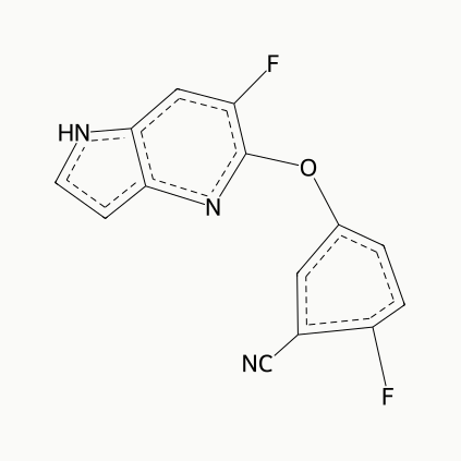 N#Cc1cc(Oc2nc3cc[nH]c3cc2F)ccc1F